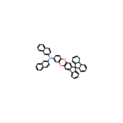 C1=CCC2C(=C1)C1(c3ccccc3-c3cc4c(cc31)Oc1ccc(N(c3ccc5ccccc5c3)c3ccc5ccccc5c3)cc1O4)C1C=CC=CC21